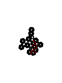 c1ccc(-c2ccccc2-c2cccc(N(c3ccccc3-c3ccccc3)c3ccccc3-c3cccc(N(c4ccc(-c5cccc6c5oc5cc7ccccc7cc56)cc4)c4ccccc4-c4ccccc4)c3)c2)cc1